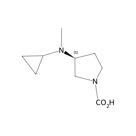 CN(C1CC1)[C@H]1CCN(C(=O)O)C1